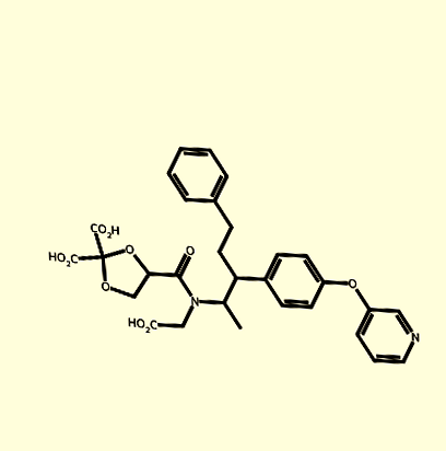 CC(C(CCc1ccccc1)c1ccc(Oc2cccnc2)cc1)N(CC(=O)O)C(=O)C1COC(C(=O)O)(C(=O)O)O1